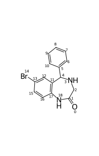 O=C1CNC(c2ccccc2)c2cc(Br)ccc2N1